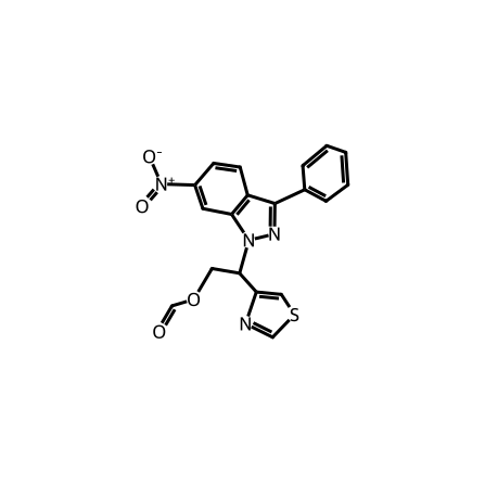 O=COCC(c1cscn1)n1nc(-c2ccccc2)c2ccc([N+](=O)[O-])cc21